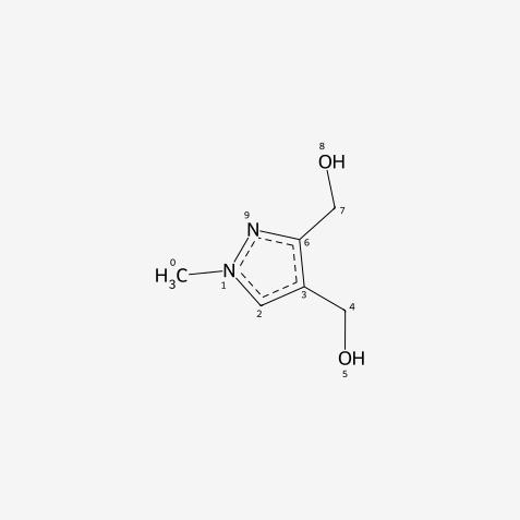 Cn1cc(CO)c(CO)n1